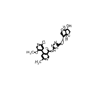 COc1cnc(Cl)cc1-c1cc(C)ncc1C(=O)Nc1nnc(O[C@H]2CO[C@H]3[C@@H]2OC[C@H]3O)s1